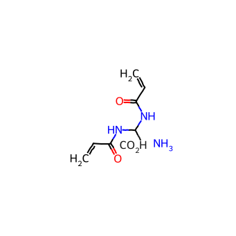 C=CC(=O)NC(NC(=O)C=C)C(=O)O.N